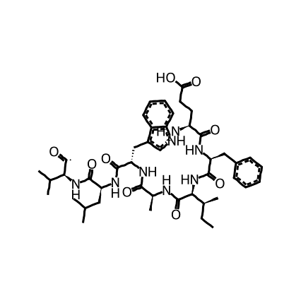 CC[C@H](C)[C@H](NC(=O)[C@H](Cc1ccccc1)NC(=O)[C@@H](N)CCC(=O)O)C(=O)N[C@@H](C)C(=O)N[C@@H](Cc1c[nH]c2ccccc12)C(=O)N[C@@H](CC(C)C)C(=O)N[C@H]([C]=O)C(C)C